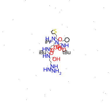 CC[C@H](C)[C@H](NC(=O)C[C@H](O)[C@H](CC(C)C)N(C(=O)[C@H](Cc1ccccc1)NC(=O)OC(C)(C)C)C(=O)[C@@H](N)Cc1cccs1)C(=O)N[C@H](CO)CCCNC(=N)N